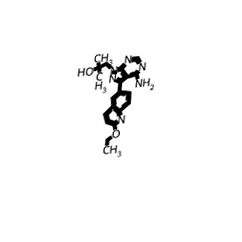 CCOc1ccc2cc(-c3nn(CC(C)(C)O)c4ncnc(N)c34)ccc2n1